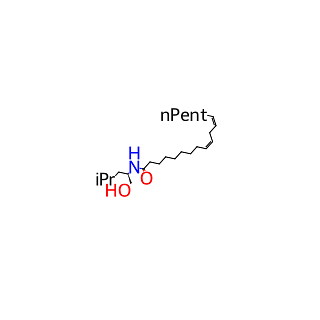 CCCCC/C=C\C/C=C\CCCCCCCC(=O)N[C@@H](CO)CC(C)C